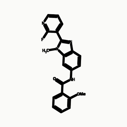 COc1ccccc1C(=O)Nc1ccc2nc(-c3cccnc3F)n(C)c2c1